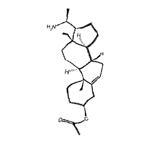 CC(=O)O[C@H]1CC[C@@]2(C)C(=CC[C@H]3[C@@H]4CC[C@H]([C@H](C)N)[C@@]4(C)CC[C@@H]32)C1